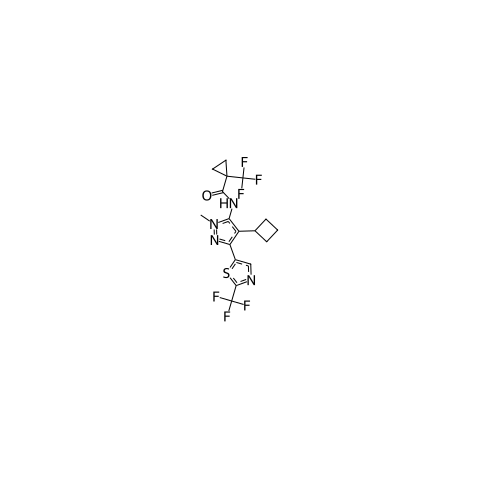 Cn1nc(-c2cnc(C(F)(F)F)s2)c(C2CCC2)c1NC(=O)C1(C(F)(F)F)CC1